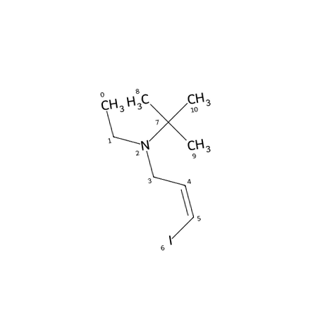 CCN(C/C=C\I)C(C)(C)C